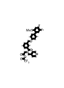 CSc1cc(F)c(F)cc1-c1ccc(OCc2cccc(C(=O)N(CC(=O)OC(=O)C(F)(F)F)Cc3ccncc3)c2)cc1